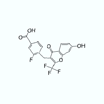 O=C(O)c1ccc(Cc2c(C(F)(F)F)oc3cc(O)ccc3c2=O)c(F)c1